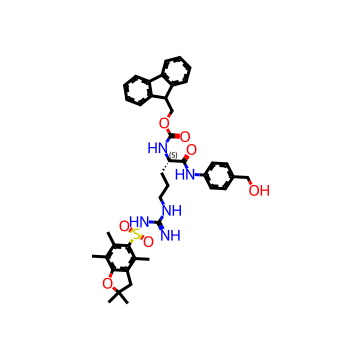 Cc1c(C)c(S(=O)(=O)NC(=N)NCCC[C@H](NC(=O)OCC2c3ccccc3-c3ccccc32)C(=O)Nc2ccc(CO)cc2)c(C)c2c1OC(C)(C)C2